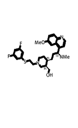 CN[C@@H](CC[C@@H]1CCN(CCSc2cc(F)cc(F)c2)C[C@@H]1CO)c1ccnc2ccc(OC)cc12